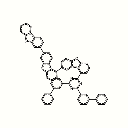 c1ccc(-c2cccc(-c3nc(-c4cccc(-c5ccccc5)c4)nc(-c4cccc5oc6ccc(-c7cccc8sc9cc(-c%10ccc%11c(c%10)sc%10ccccc%10%11)ccc9c78)cc6c45)n3)c2)cc1